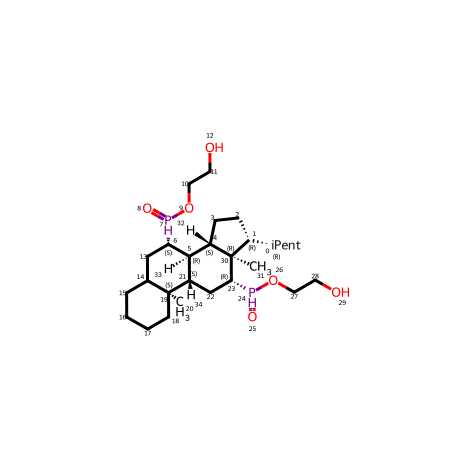 CCC[C@@H](C)[C@H]1CC[C@H]2[C@@H]3[C@@H]([PH](=O)OCCO)CC4CCCC[C@]4(C)[C@H]3C[C@@H]([PH](=O)OCCO)[C@]12C